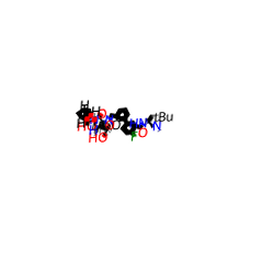 COc1c(CN2O[C@@H](CO)[C@@H]([C@H](C)O)[C@H]2C(=O)N[C@H]2C[C@H]3C[C@@H]([C@@H]2C)C3(C)C)cccc1-c1ccc(F)c(C(=O)N[C@H](CN(C)C)CC(C)(C)C)c1